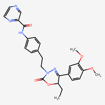 CCC1OC(=O)N(CCc2ccc(NC(=O)c3cnccn3)cc2)N=C1c1ccc(OC)c(OC)c1